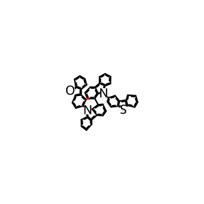 c1ccc2c(c1)oc1ccc(-n3c4ccccc4c4cccc(-c5cccc6c7ccccc7n(-c7ccc8sc9ccccc9c8c7)c56)c43)cc12